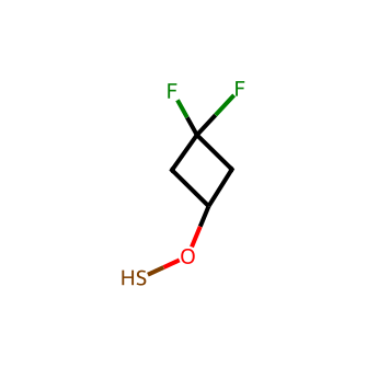 FC1(F)CC(OS)C1